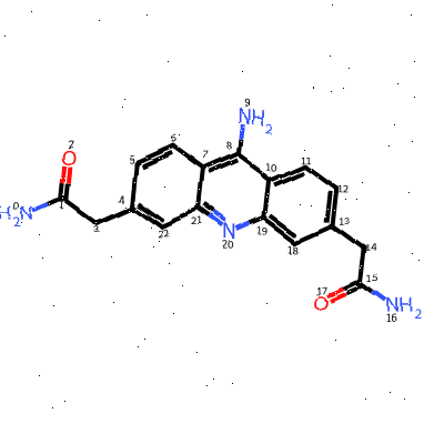 NC(=O)Cc1ccc2c(N)c3ccc(CC(N)=O)cc3nc2c1